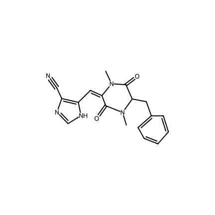 CN1C(=O)C(Cc2ccccc2)N(C)C(=O)/C1=C\c1[nH]cnc1C#N